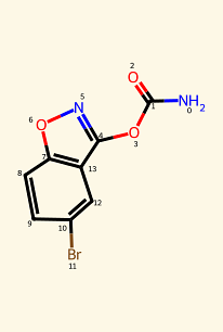 NC(=O)Oc1noc2ccc(Br)cc12